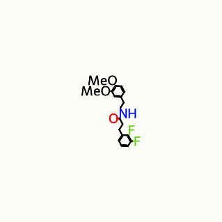 COc1ccc(CCNC(=O)CCc2cccc(F)c2F)cc1OC